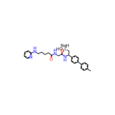 Cc1ccc(-c2ccc(C(CC(=O)O)NC(=O)CNC(=O)CCCCNc3ccccn3)cc2)cc1.[NaH]